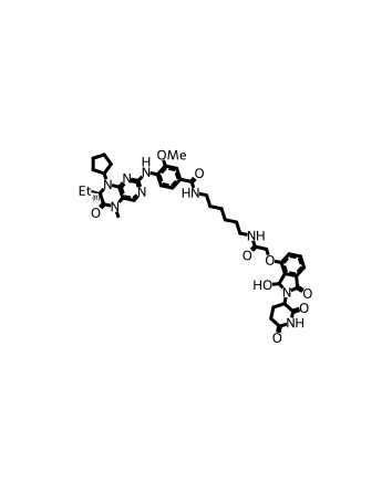 CC[C@@H]1C(=O)N(C)c2cnc(Nc3ccc(C(=O)NCCCCCCNC(=O)COc4cccc5c4C(O)N(C4CCC(=O)NC4=O)C5=O)cc3OC)nc2N1C1CCCC1